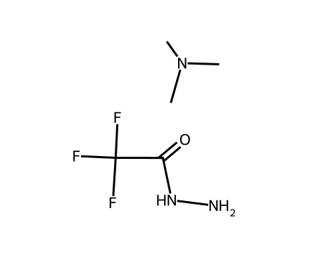 CN(C)C.NNC(=O)C(F)(F)F